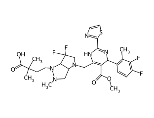 COC(=O)C1=C(CN2CC(F)(F)C3C2CN(C)N3CCC(C)(C)C(=O)O)NC(c2nccs2)=NC1c1ccc(F)c(F)c1C